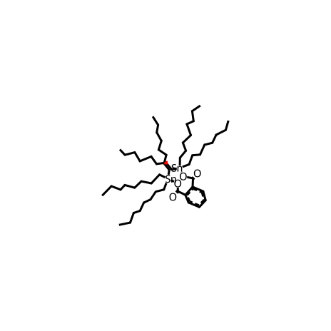 CCCCCCC[CH2][Sn]([CH2]CCCCCCC)([CH2]CCCCCCC)[O]C(=O)c1ccccc1C(=O)[O][Sn]([CH2]CCCCCCC)([CH2]CCCCCCC)[CH2]CCCCCCC